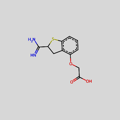 N=C(N)C1Cc2c(OCC(=O)O)cccc2S1